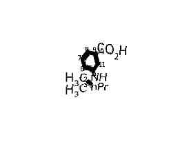 CCCC(C)(C)Nc1cccc(C(=O)O)c1